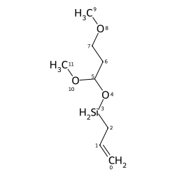 C=CC[SiH2]OC(CCOC)OC